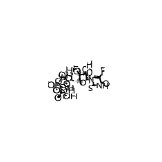 O=c1[nH]c(=S)n([C@@H]2O[C@H](COP(=O)(O)OP(=O)(O)OP(=O)(O)O)C(O)[C@]2(O)C(F)(F)F)cc1F